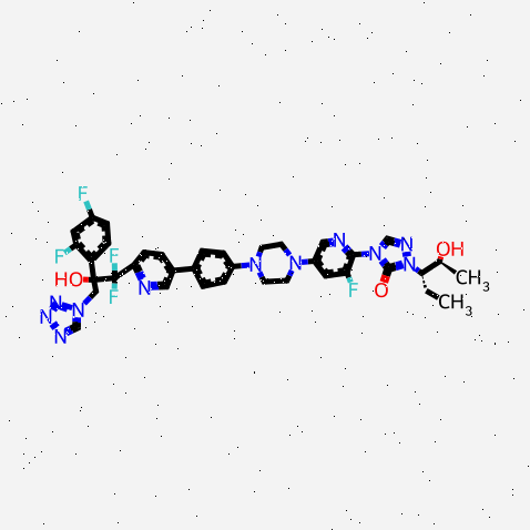 CC[C@@H]([C@H](C)O)n1ncn(-c2ncc(N3CCN(c4ccc(-c5ccc(C(F)(F)C(O)(Cn6cnnn6)c6ccc(F)cc6F)nc5)cc4)CC3)cc2F)c1=O